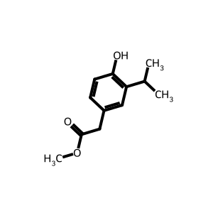 COC(=O)Cc1ccc(O)c(C(C)C)c1